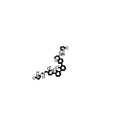 COc1nc(-c2cccc(-c3cccc(-c4ccc5c(c4)OCC[C@@H]5NC[C@@H]4CCC(=O)N4)c3Cl)c2Cl)ccc1CNC[C@@H]1CCC(=O)N1